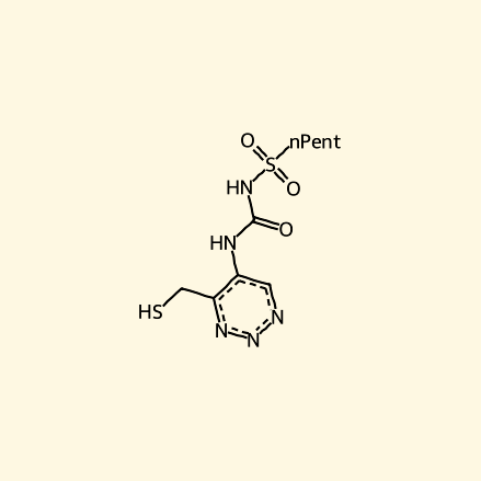 CCCCCS(=O)(=O)NC(=O)Nc1cnnnc1CS